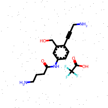 NCC#Cc1ccc(NC(=O)CCCN)cc1CO.O=C(O)C(F)(F)F